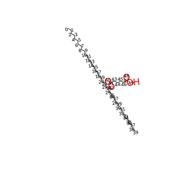 CCCCCCCCCCCCCCCCCCCCCC(CCCCCCCCCCCCCCCCCC)OC(=O)CCCCC(=O)O